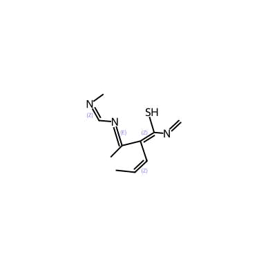 C=N/C(S)=C(\C=C/C)C(/C)=N/C=N\C